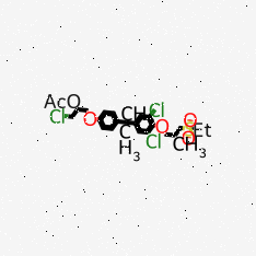 CCS(=O)(=O)CC(C)COc1c(Cl)cc(C(C)(C)c2ccc(OCC(CCl)OC(C)=O)cc2)cc1Cl